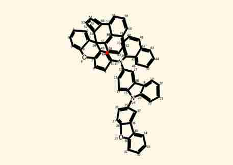 c1ccc2c(c1)Oc1ccc(N(c3ccc4c(c3)c3ccccc3n4-c3ccc4oc5ccccc5c4c3)c3cccc4ccccc34)cc1C21c2ccccc2-c2cccc3cccc1c23